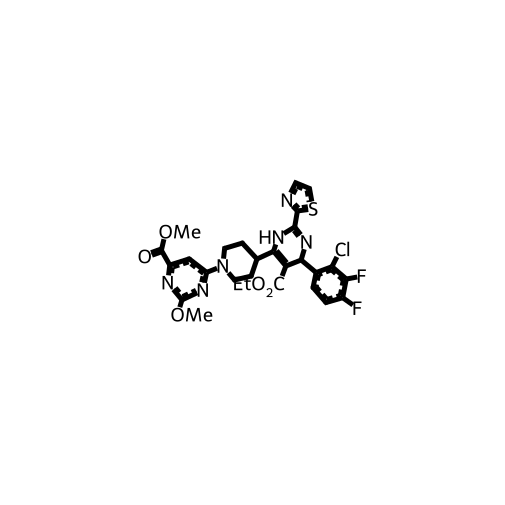 CCOC(=O)C1=C(C2CCN(c3cc(C(=O)OC)nc(OC)n3)CC2)NC(c2nccs2)=NC1c1ccc(F)c(F)c1Cl